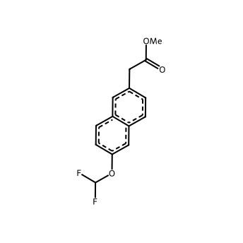 COC(=O)Cc1ccc2cc(OC(F)F)ccc2c1